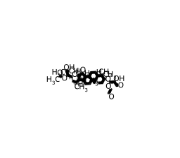 CC(=O)O[C@@H]([C@H]1C[C@@H](C)[C@H]2[C@H](O1)C(=O)[C@@]1(C)[C@@H]3CC[C@H]4C(C)(C)[C@@H](O[C@H](OCC=O)[C@H](O)C=O)CC[C@@]45C[C@@]35CC[C@]21C)C(C)(C)O